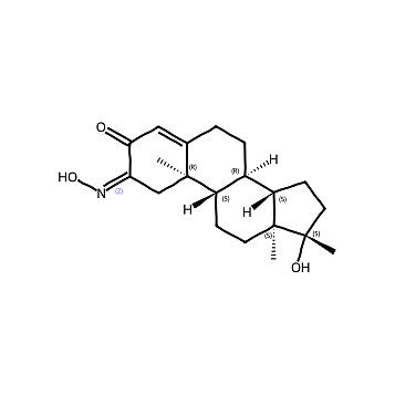 C[C@]12C/C(=N/O)C(=O)C=C1CC[C@@H]1[C@@H]2CC[C@@]2(C)[C@H]1CC[C@]2(C)O